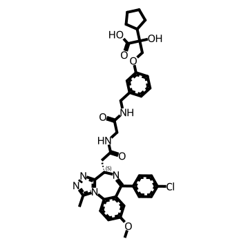 COc1ccc2c(c1)C(c1ccc(Cl)cc1)=N[C@@H](CC(=O)NCC(=O)NCc1cccc(OCC(O)(C(=O)O)C3CCCC3)c1)c1nnc(C)n1-2